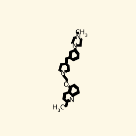 CCc1ccc2c(OCCN3CCC(=Cc4cccc(N5CCN(C)CC5)c4)CC3)cccc2n1